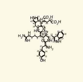 N=C(N)NCCC[C@H](NC(=O)[C@H](Cc1c[nH]c2ccccc12)NC(=O)[C@@H](N)Cc1ccc(O)cc1)C(=O)N[C@@H](Cc1c[nH]cn1)C(=O)N[C@@H](CCC(=O)O)C(=O)O